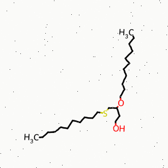 CCCCCCCCCCCOC(CCO)CSCCCCCCCCCCC